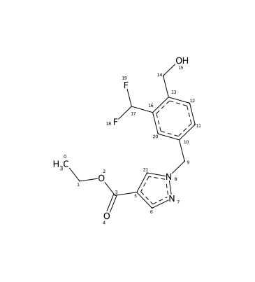 CCOC(=O)c1cnn(Cc2ccc(CO)c(C(F)F)c2)c1